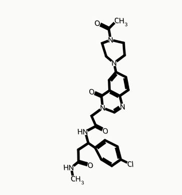 CNC(=O)CC(NC(=O)Cn1cnc2ccc(N3CCN(C(C)=O)CC3)cc2c1=O)c1ccc(Cl)cc1